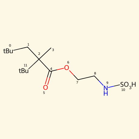 CC(C)(C)CC(C)(C(=O)OCCNS(=O)(=O)O)C(C)(C)C